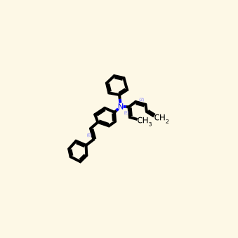 C=C/C=C\C(=C/C)N(c1ccccc1)c1ccc(/C=C/c2ccccc2)cc1